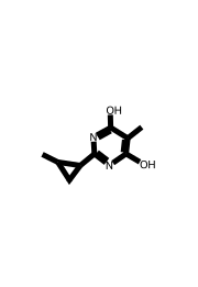 Cc1c(O)nc(C2CC2C)nc1O